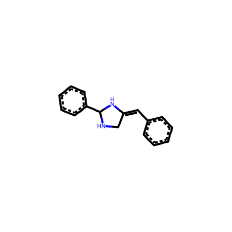 C(=C1CNC(c2ccccc2)N1)c1ccccc1